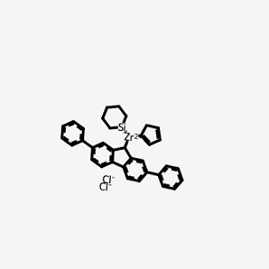 C1=CC[C]([Zr+2]([CH]2c3cc(-c4ccccc4)ccc3-c3ccc(-c4ccccc4)cc32)=[Si]2CCCCC2)=C1.[Cl-].[Cl-]